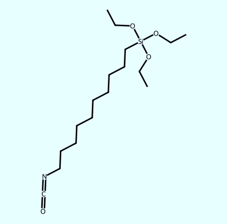 CCO[Si](CCCCCCCCCCN=C=O)(OCC)OCC